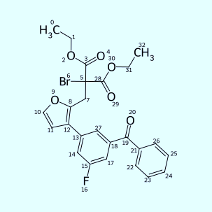 CCOC(=O)C(Br)(Cc1occc1-c1cc(F)cc(C(=O)c2ccccc2)c1)C(=O)OCC